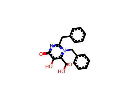 O=C(O)c1c(O)c(=O)nc(Cc2ccccc2)n1Cc1ccccc1